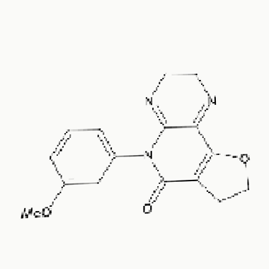 COc1cccc(-n2c(=O)c3c(c4nccnc42)OCC3)c1